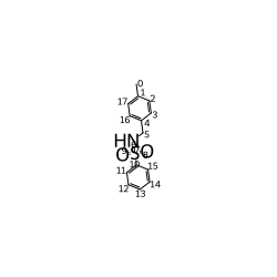 Cc1ccc(CNS(=O)(=O)c2ccccc2)cc1